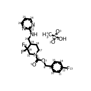 CS(=O)(=O)O.O=C(OCc1ccc(F)cc1)N1CCC(CNc2ncccn2)C(F)(F)C1